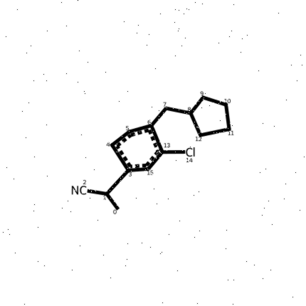 CC(C#N)c1ccc(CC2CCCC2)c(Cl)c1